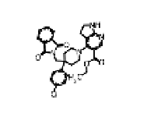 CCOC(=O)c1cnc2c(c1N1CCC(CN3C(=O)c4ccccc4C3=O)(c3ccc(Cl)cc3)CC1)CCN2